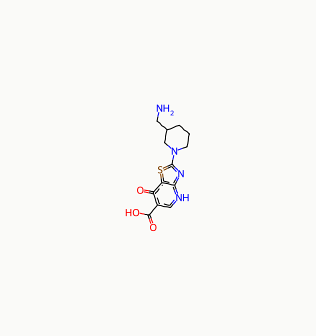 NCC1CCCN(c2nc3[nH]cc(C(=O)O)c(=O)c3s2)C1